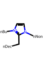 CCCCCCCCCCCc1n(CCCCCCCCC)cc[n+]1CCCC